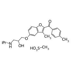 CS(=O)(=O)O.Cc1ccc(C(=O)c2oc3ccc(OCC(O)CNC(C)C)cc3c2C)cc1